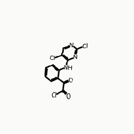 O=C(Cl)C(=O)c1ccccc1Nc1nc(Cl)ncc1Cl